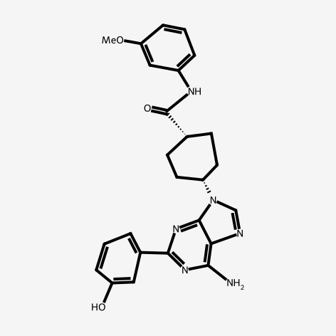 COc1cccc(NC(=O)[C@H]2CC[C@@H](n3cnc4c(N)nc(-c5cccc(O)c5)nc43)CC2)c1